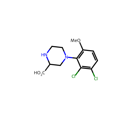 COc1ccc(Cl)c(Cl)c1N1CCNC(C(=O)O)C1